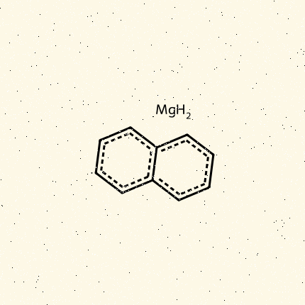 [MgH2].[c]1ccc2ccccc2c1